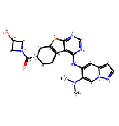 CN(C)c1cn2nccc2cc1Nc1ncnc2sc3c(c12)CC[C@H](C(=O)N1CC(O)C1)C3